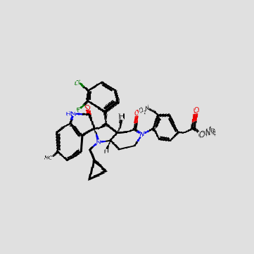 COC(=O)c1ccc(N2CC[C@H]3[C@@H](C2=O)[C@H](c2cccc(Cl)c2F)[C@]2(C(=O)Nc4cc(C#N)ccc42)N3CC2CC2)c([N+](=O)[O-])c1